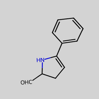 O=CC1CC=C(c2ccccc2)N1